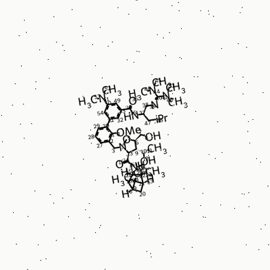 COc1c(CN2O[C@@H](CO)[C@H]([C@H](C)O)[C@H]2C(=O)N[C@H]2C[C@H]3C[C@@H]([C@@H]2C)C3(C)C)cccc1-c1cc(C(=O)N[C@@H](CN=C(N(C)C)N(C)C)CC(C)C)cc(N(C)C)c1